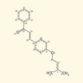 CC(C)=CCOc1ccc(/C=C/C(=O)c2ccccc2)cc1